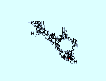 C=C1C[C@@H]2CC[C@@]34O[C@H]5[C@H]6O[C@H](CC[C@@H]6O[C@H]6C7C(O)(O[C@@]7(O3)[C@@H]56)[C@H]4O)CC(=O)O[C@@H]3CC4OC5C[C@H](C[C@@H]6O[C@@]7(CC[C@@H]6O)C[C@H](N)[C@@H]6O[C@H](CC(=O)O)[C@H](O)C[C@@H]6O7)O[C@@H]5C[C@@H]4O[C@H]3C[C@H]3O[C@@H](CC[C@@H]1O2)C[C@@H](N)C3=C